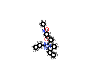 c1ccc(-c2nc3cc4oc5c(-c6nc(-c7ccc8ccccc8c7)nc(-c7ccc8ccccc8c7-c7ccccc7)n6)cccc5c4cc3o2)cc1